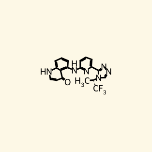 C[C@H](n1cnnc1-c1cccc(Nc2cccc3[nH]ccc(=O)c23)n1)C(F)(F)F